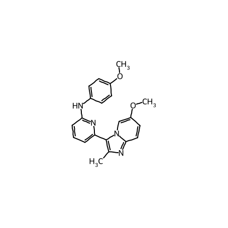 COc1ccc(Nc2cccc(-c3c(C)nc4ccc(OC)cn34)n2)cc1